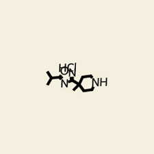 CC(C)c1nc(C2(C)CCNCC2)no1.Cl